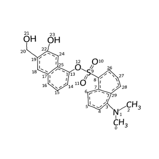 CN(C)c1cccc2c(S(=O)(=O)Oc3cccc4cc(CO)c(O)cc34)cccc12